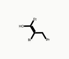 CC/C(O)=C(/Br)CC(C)C